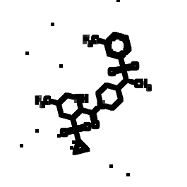 C[C@@H](C1CCN(C(=O)C2NCC(C(F)(F)F)CC2S(=O)(=O)C2CC2)CC1)S(=O)(=O)c1cccc(C(F)(F)F)c1